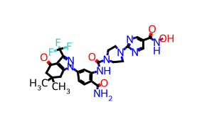 CC1(C)CC(=O)c2c(C(F)(F)F)nn(-c3ccc(C(N)=O)c(NC(=O)N4CCN(c5ncc(C(=O)NO)cn5)CC4)c3)c2C1